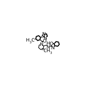 Cc1ccc(-n2nccn2)c(C(=O)N2CCC[C@@H](C)C2CNc2nc3ccccc3o2)c1